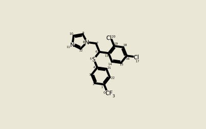 FC(F)(F)c1ccc(SC(Cn2ccnc2)c2ccc(Cl)cc2Cl)cc1